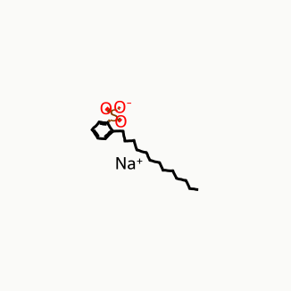 CCCCCCCCCCCCCc1ccccc1S(=O)(=O)[O-].[Na+]